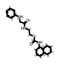 O=C(CNc1ccccc1)NCCOC(=O)Nc1cccc2ccccc12